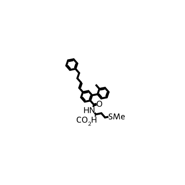 CSCC[C@H](NC(=O)c1ccc(C=CCCc2ccccc2)cc1-c1ccccc1C)C(=O)O